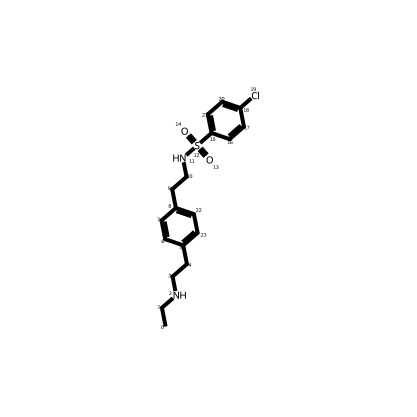 CCNCCc1ccc(CCNS(=O)(=O)c2ccc(Cl)cc2)cc1